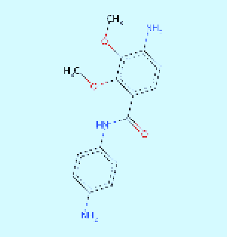 COc1c(N)ccc(C(=O)Nc2ccc(N)cc2)c1OC